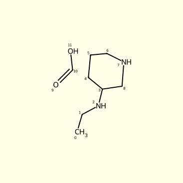 CCNC1CCCNC1.O=CO